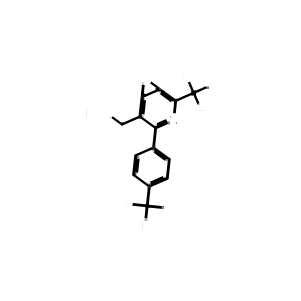 CCc1c(-c2ccc(C(F)(F)F)cc2)nc(C(F)(F)F)c2c1O2